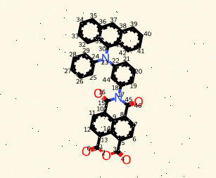 O=C1OC(=O)c2ccc3c4c(ccc1c24)C(=O)N(c1cccc(N(c2ccccc2)c2c4ccccc4cc4ccccc24)c1)C3=O